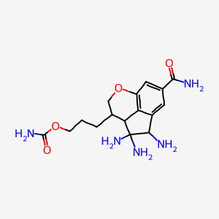 NC(=O)OCCCC1COc2cc(C(N)=O)cc3c2C1C(N)(N)C3N